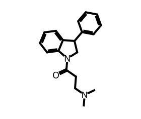 CN(C)CCC(=O)N1CC(c2ccccc2)c2ccccc21